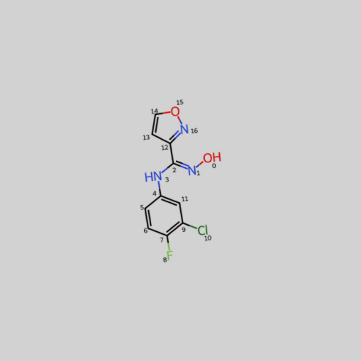 ON=C(Nc1ccc(F)c(Cl)c1)c1ccon1